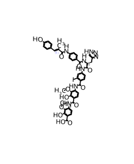 COc1c(NC(=O)c2ccc(NC(=O)c3ccc(NC(=O)[C@H](Cc4c[nH]nn4)NC(=O)c4ccc(NC(=O)/C(C)=C/c5ccc(O)cc5)cc4)cc3I)c(OC)c2O)ccc(C(=O)O)c1O